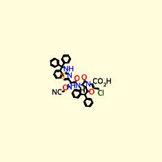 N#CCON=C(C(=O)N[C@@H]1C(=O)N2C(C(=O)O)=C(CCl)OC(C(c3ccccc3)c3ccccc3)[C@H]12)c1csc(NC(c2ccccc2)(c2ccccc2)c2ccccc2)n1